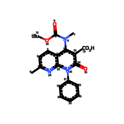 Cc1ccc2c(N(C)C(=O)OC(C)(C)C)c(C(=O)O)c(=O)n(-c3ccccc3)c2n1